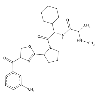 CN[C@@H](C)C(=O)N[C@H](C(=O)N1CCCC1C1=NC(C(=O)c2cccc(C)c2)CS1)C1CCCCC1